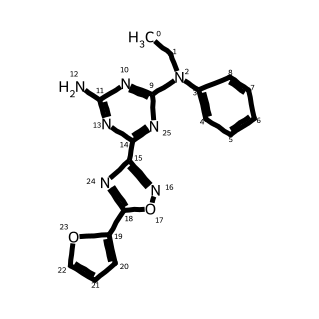 CCN(c1ccccc1)c1nc(N)nc(-c2noc(-c3ccco3)n2)n1